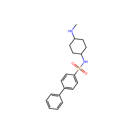 CNC1CCC(NS(=O)(=O)c2ccc(-c3ccccc3)cc2)CC1